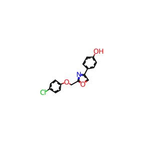 Oc1ccc(-c2coc(COc3ccc(Cl)cc3)n2)cc1